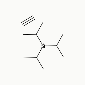 C#C.CC(C)[Si](C(C)C)C(C)C